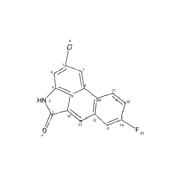 O=C1Nc2cc(Cl)cc3c2c1cc1cc(F)ccc13